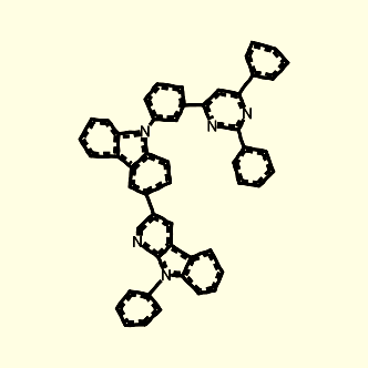 c1ccc(-c2cc(-c3cccc(-n4c5ccccc5c5cc(-c6cnc7c(c6)c6ccccc6n7-c6ccccc6)ccc54)c3)nc(-c3ccccc3)n2)cc1